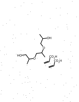 C=CC(=O)O.C=CC(=O)O.CC(O)COC(C)COC(C)CO